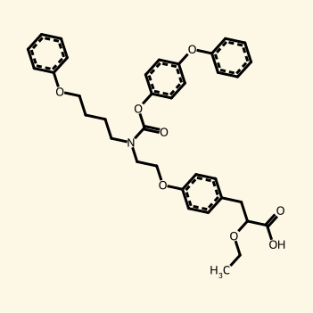 CCOC(Cc1ccc(OCCN(CCCCOc2ccccc2)C(=O)Oc2ccc(Oc3ccccc3)cc2)cc1)C(=O)O